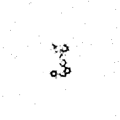 N#Cc1ccc([C@H]2C=Cc3cccc(C4CCN(Cc5nc6ccc(C(=O)O)nc6n5C[C@@H]5CCO5)CC4)c3O2)c(F)c1